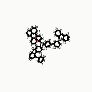 c1ccc(-c2cccc3cccc(-c4ccc(N(c5ccc(-c6cccc(-n7c8ccccc8c8ccccc87)c6)cc5)c5ccc6c(c5)sc5cccc(-c7ccccc7)c56)cc4)c23)cc1